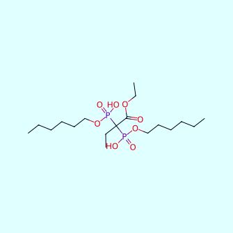 CCCCCCOP(=O)(O)C(CC)(C(=O)OCC)P(=O)(O)OCCCCCC